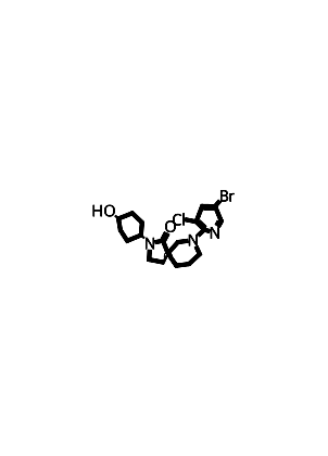 O=C1N([C@H]2CC[C@@H](O)CC2)CC[C@@]12CCCN(c1ncc(Br)cc1Cl)C2